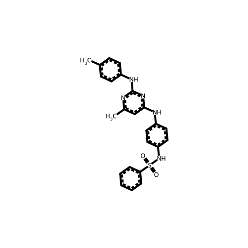 Cc1ccc(Nc2nc(C)cc(Nc3ccc(NS(=O)(=O)c4ccccc4)cc3)n2)cc1